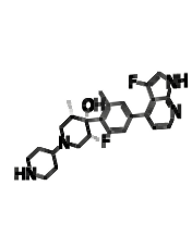 Cc1cc(-c2ccnc3[nH]cc(F)c23)cc(F)c1[C@@]1(O)[C@H](C)CN(C2CCNCC2)C[C@@H]1C